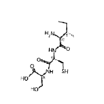 CC[C@H](C)[C@H](N)C(=O)N[C@@H](CS)C(=O)N[C@@H](CO)C(=O)O